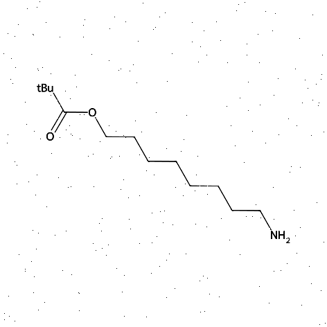 CC(C)(C)C(=O)OCCCCCCCCN